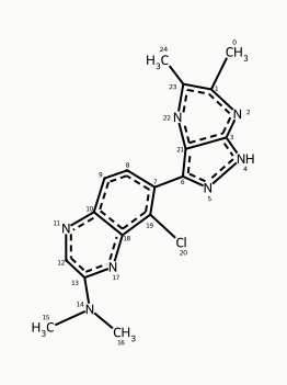 Cc1nc2[nH]nc(-c3ccc4ncc(N(C)C)nc4c3Cl)c2nc1C